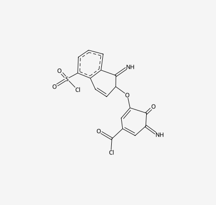 N=C1C=C(C(=O)Cl)C=C(OC2C=Cc3c(cccc3S(=O)(=O)Cl)C2=N)C1=O